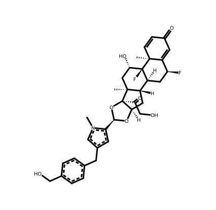 Cn1cc(Cc2ccc(CO)cc2)cc1[C@@H]1O[C@@H]2C[C@H]3[C@@H]4C[C@H](F)C5=CC(=O)C=C[C@]5(C)[C@@]4(F)[C@@H](O)C[C@]3(C)[C@]2(C(=O)CO)O1